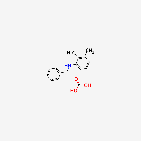 Cc1cccc(NCc2ccccc2)c1C.O=C(O)O